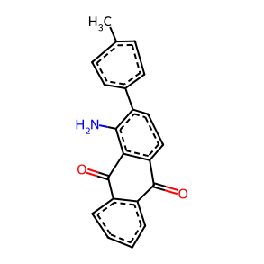 Cc1ccc(-c2ccc3c(c2N)C(=O)c2ccccc2C3=O)cc1